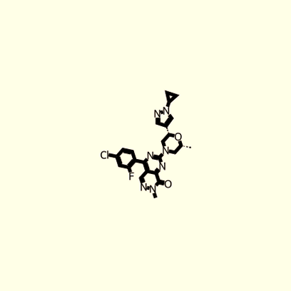 C[C@@H]1CN(c2nc(-c3ccc(Cl)cc3F)c3cnn(C)c(=O)c3n2)C[C@H](c2cnn(C3CC3)c2)O1